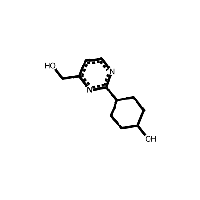 OCc1ccnc(C2CCC(O)CC2)n1